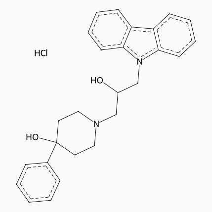 Cl.OC(CN1CCC(O)(c2ccccc2)CC1)Cn1c2ccccc2c2ccccc21